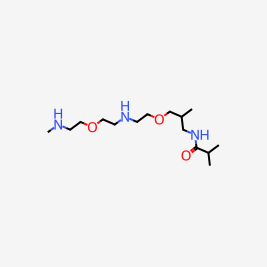 CNCCOCCNCCOCC(C)CNC(=O)C(C)C